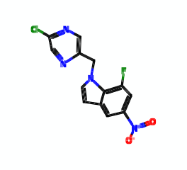 O=[N+]([O-])c1cc(F)c2c(ccn2Cc2cnc(Cl)cn2)c1